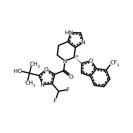 CC(C)(O)c1nc(C(F)F)c(C(=O)N2CCc3[nH]cnc3[C@@H]2c2cc3cccc(C(F)(F)F)c3o2)o1